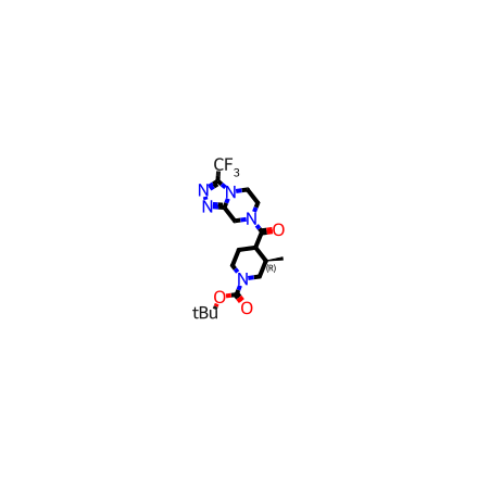 C[C@H]1CN(C(=O)OC(C)(C)C)CCC1C(=O)N1CCn2c(nnc2C(F)(F)F)C1